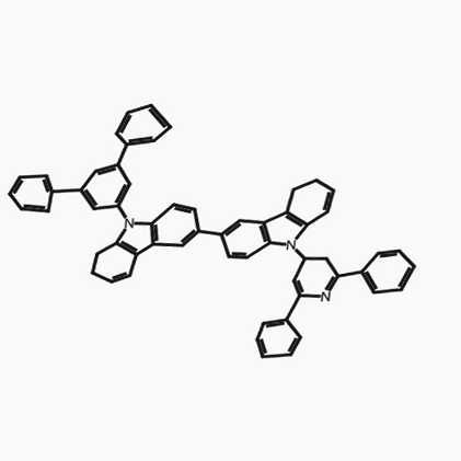 C1=Cc2c(c3cc(-c4ccc5c(c4)c4c(n5-c5cc(-c6ccccc6)cc(-c6ccccc6)c5)CCC=C4)ccc3n2C2C=C(c3ccccc3)N=C(c3ccccc3)C2)CC1